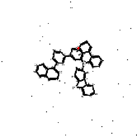 c1ccc(-c2ccccc2N(c2cccc(-c3cccc(-c4cccc5ccccc45)c3)c2)c2ccc3sc4ccccc4c3c2)cc1